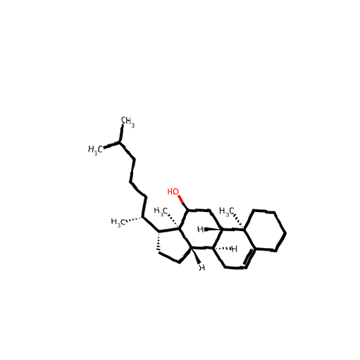 CC(C)CCC[C@@H](C)[C@H]1CC[C@H]2[C@@H]3CC=C4CCCC[C@]4(C)[C@H]3CC(O)[C@]12C